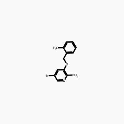 Nc1ncc(Br)cc1OCc1ccccc1C(F)(F)F